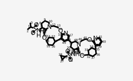 CC(C)S(=O)(=O)NC1CCCN2CCOc3ncc(C4C[C@H](NS(=O)(=O)C5CC5)[C@@H]5COC6CCC(CC6)c6cccnc6OCCN5C4)cc3C3CCC(CC3)OC[C@@H]12